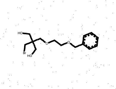 OCC(CO)(CBr)COCCOCc1ccccc1